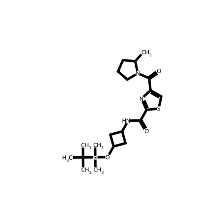 CC1CCCN1C(=O)c1csc(C(=O)NC2CC(O[Si](C)(C)C(C)(C)C)C2)n1